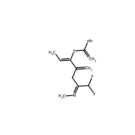 C=C(CCC)S/C(=C\C)C(=C)C/C(=N\C)C(F)F